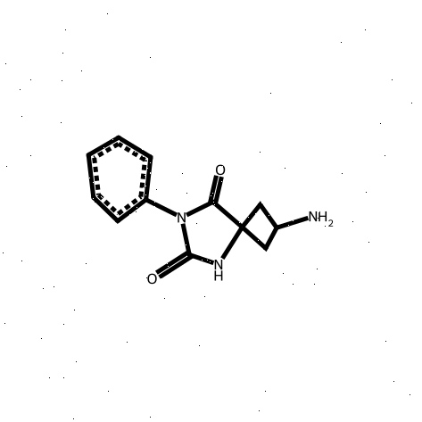 NC1CC2(C1)NC(=O)N(c1ccccc1)C2=O